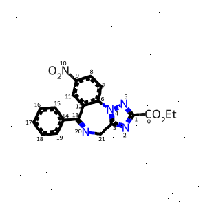 CCOC(=O)c1nc2n(n1)-c1ccc([N+](=O)[O-])cc1C(c1ccccc1)=NC2